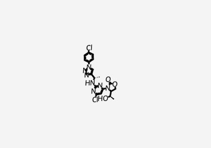 C[C@H](Nc1nc(Cl)cc(N2C(=O)OCC2[C@@H](C)O)n1)c1cn(-c2ccc(Cl)cc2)nn1